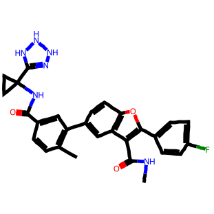 CNC(=O)c1c(-c2ccc(F)cc2)oc2ccc(-c3cc(C(=O)NC4(C5=NNNN5)CC4)ccc3C)cc12